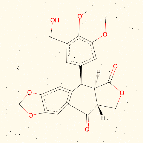 COc1cc([C@@H]2c3cc4c(cc3C(=O)[C@H]3COC(=O)[C@H]23)OCO4)cc(CO)c1OC